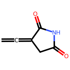 C=C=C1CC(=O)NC1=O